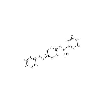 OC(CN1CCN(CCc2ccccc2)CC1)c1cccnc1